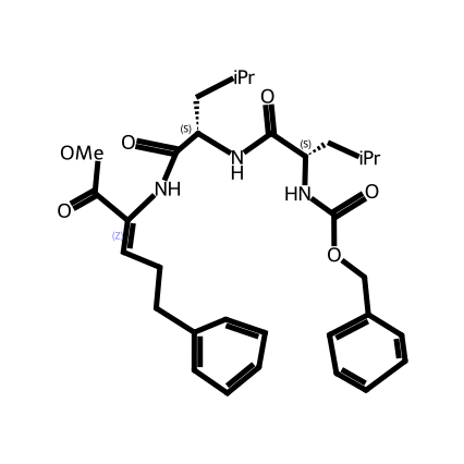 COC(=O)/C(=C/CCc1ccccc1)NC(=O)[C@H](CC(C)C)NC(=O)[C@H](CC(C)C)NC(=O)OCc1ccccc1